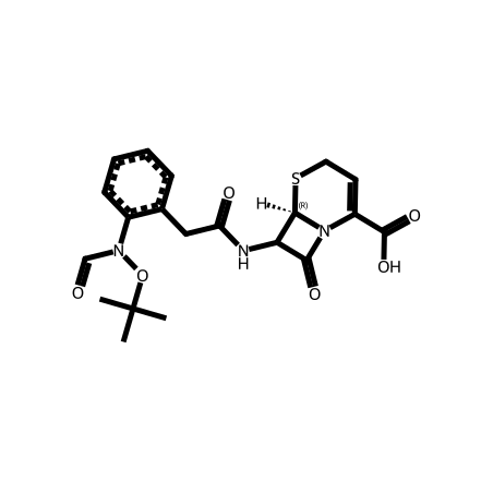 CC(C)(C)ON(C=O)c1ccccc1CC(=O)NC1C(=O)N2C(C(=O)O)=CCS[C@H]12